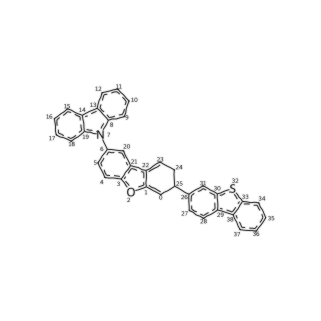 C1=c2oc3ccc(-n4c5ccccc5c5ccccc54)cc3c2=CCC1c1ccc2c(c1)sc1ccccc12